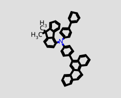 CC1(C)c2ccccc2-c2c(N(c3ccc(-c4ccccc4)cc3)c3ccc(-c4cc5c6ccccc6ccc5c5ccccc45)cc3)cccc21